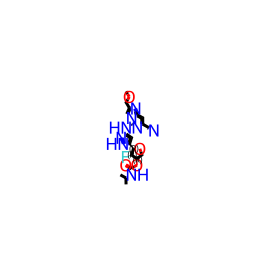 COCc1cn2c(Nc3cc([C@H]4OC[C@@H](OC(=O)NC(C)C)[C@@H]4F)[nH]n3)nc(C#N)cc2n1